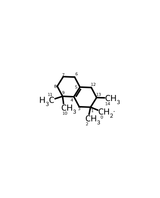 [CH2]C1(C)CC2=C(CCCC2(C)C)CC1C